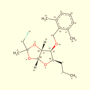 CCC[C@H]1O[C@@H]2OC(C)(CF)O[C@@H]2[C@H]1OCc1c(C)cccc1C